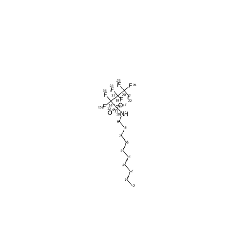 CCCCCCCCCCNS(=O)(=O)C(F)(F)C(F)(F)C(F)(F)F